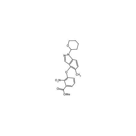 COC(=O)c1cccc(Oc2c(C)ccc3c2cnn3C2CCCCO2)c1[N+](=O)[O-]